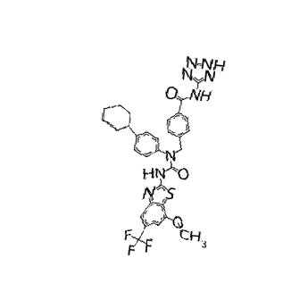 COc1cc(C(F)(F)F)cc2nc(NC(=O)N(Cc3ccc(C(=O)Nc4nn[nH]n4)cc3)c3ccc(C4CCCCC4)cc3)sc12